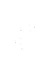 COc1ccc(OC(=O)Oc2ccccc2Cl)cc1